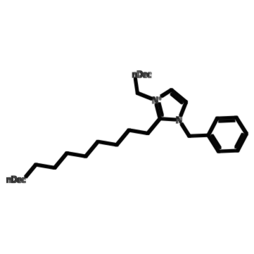 CCCCCCCCCCCCCCCCCCc1n(Cc2ccccc2)cc[n+]1CCCCCCCCCCC